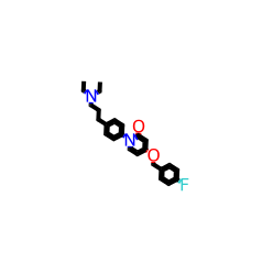 CCN(CC)CCCc1ccc(-n2ccc(OCc3ccc(F)cc3)cc2=O)cc1